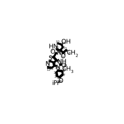 C=CC(=O)[C@]1(NC(=O)c2sc3nccc4c3c2NC(=O)N4c2ccc(OC(C)C)cc2C)CNC[C@H](O)C1